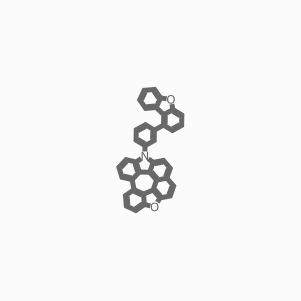 c1cc(-c2cccc3oc4ccccc4c23)cc(-n2c3cccc4c3c3c5c(ccc6oc7cccc-4c7c65)ccc32)c1